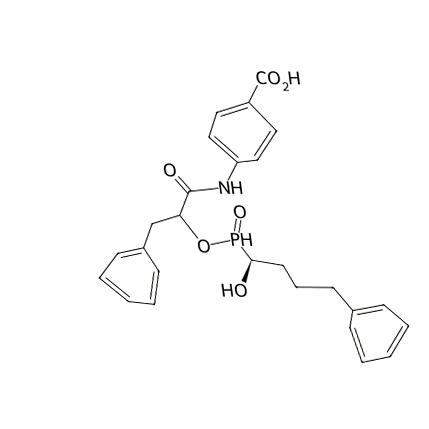 O=C(O)c1ccc(NC(=O)C(Cc2ccccc2)O[PH](=O)[C@H](O)CCCc2ccccc2)cc1